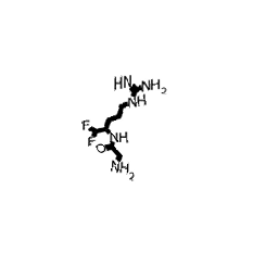 N=C(N)NCCCC(NC(=O)CN)C(F)F